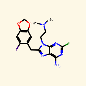 CCCCN(CCn1c(Cc2cc3c(cc2I)OCO3)nc2c(N)nc(F)nc21)C(C)C